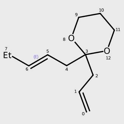 C=CCC1(C/C=C/CC)OCCCO1